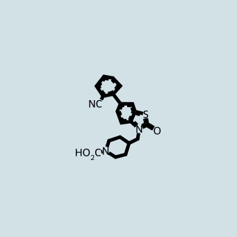 N#Cc1ccccc1-c1ccc2c(c1)sc(=O)n2CC1CCN(C(=O)O)CC1